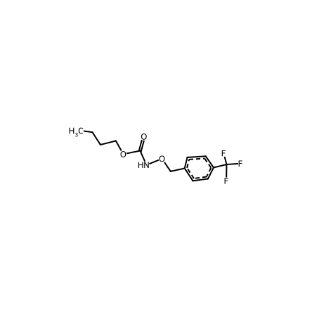 CCCCOC(=O)NOCc1ccc(C(F)(F)F)cc1